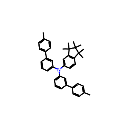 Cc1ccc(-c2cccc(N(c3cccc(-c4ccc(C)cc4)c3)c3ccc4c(c3)C(C)(C)C(C)(C)C4(C)C)c2)cc1